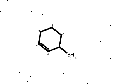 BC1C=CCCC1